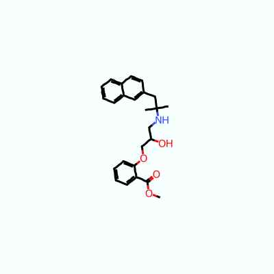 COC(=O)c1ccccc1OCC(O)CNC(C)(C)Cc1ccc2ccccc2c1